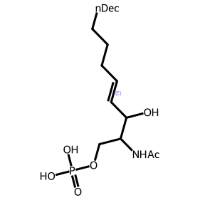 CCCCCCCCCCCCC/C=C/C(O)C(COP(=O)(O)O)NC(C)=O